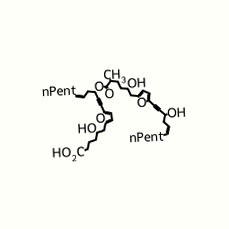 CCCCC/C=C\CC(O)C#Cc1ccc(CC(O)CCC(C)C(=O)OC(C#Cc2ccc(CC(O)CCCC(=O)O)o2)C/C=C\CCCCC)o1